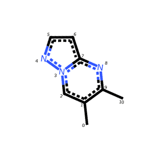 Cc1cn2nccc2nc1C